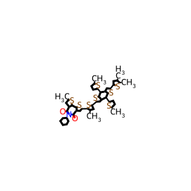 Cc1ccc(-c2c3cc(-c4cc(C)c(-c5cc6c(=O)n(-c7ccccc7)c(=O)c7cc(C)sc7c6s5)s4)sc3c(-c3ccc(C)s3)c3cc(-c4cc(C)c(C)s4)sc23)s1